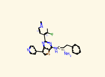 C=N/C=C\C(=C(/C)F)c1nc(NC[C@@H](N)Cc2ccccc2)c2scc(-c3ccncc3)c2n1